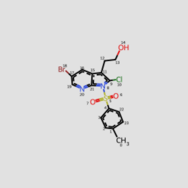 Cc1ccc(S(=O)(=O)n2c(Cl)c(CCO)c3cc(Br)cnc32)cc1